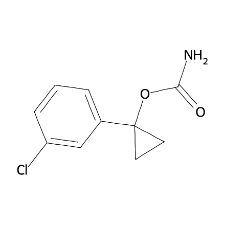 NC(=O)OC1(c2cccc(Cl)c2)CC1